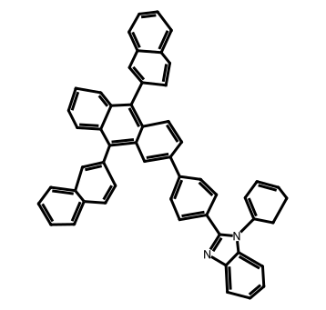 C1=CCCC(n2c(-c3ccc(-c4ccc5c(-c6ccc7ccccc7c6)c6ccccc6c(-c6ccc7ccccc7c6)c5c4)cc3)nc3ccccc32)=C1